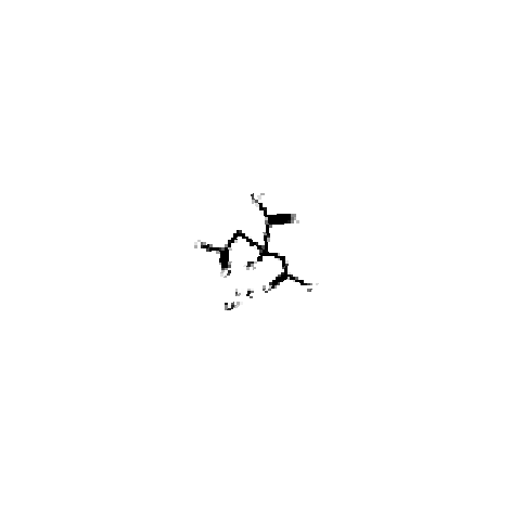 O=C([O-])CC(O)(CC(=O)[O-])C(=O)[O-].[NH4+].[Ni+2]